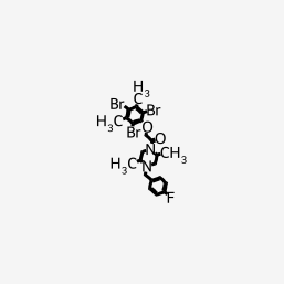 Cc1c(Br)c(C)c(Br)c(OCC(=O)N2CC(C)N(Cc3ccc(F)cc3)CC2C)c1Br